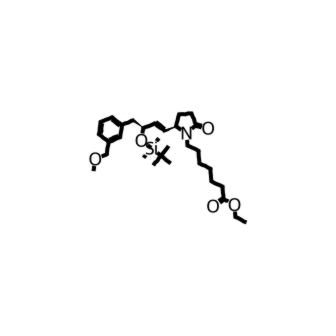 CCOC(=O)CCCCCCN1C(=O)CC[C@@H]1/C=C/[C@H](Cc1cccc(COC)c1)O[Si](C)(C)C(C)(C)C